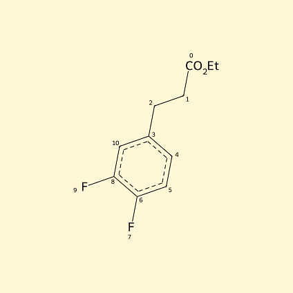 CCOC(=O)CCc1ccc(F)c(F)c1